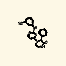 N#Cc1cccc(Nc2nccc(N3CCNC(=O)C3c3ccccc3)n2)c1